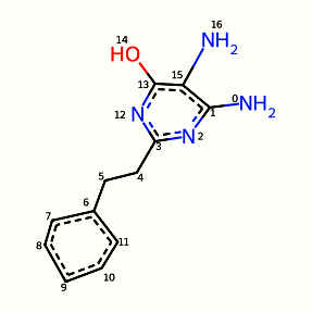 Nc1nc(CCc2ccccc2)nc(O)c1N